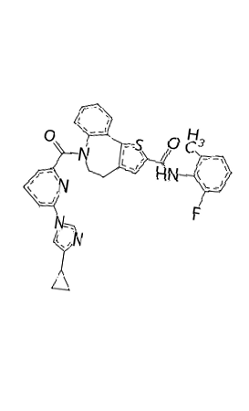 Cc1cccc(F)c1NC(=O)c1cc2c(s1)-c1ccccc1N(C(=O)c1cccc(-n3cnc(C4CC4)c3)n1)CC2